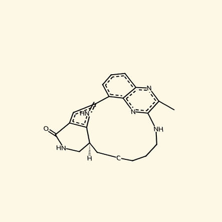 Cc1nc2cccc3c2nc1NCCCCC[C@H]1CNC(=O)c2cc-3[nH]c21